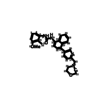 COc1cccc(NC(=O)Nc2ccc(-c3ccc(CN4CCOCC4)nc3)c3ccccc23)c1C